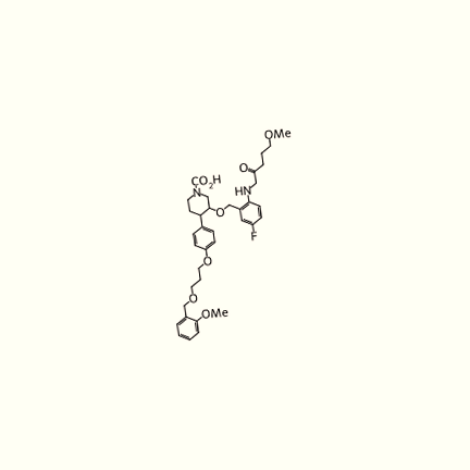 COCCCC(=O)CNc1ccc(F)cc1COC1CN(C(=O)O)CCC1c1ccc(OCCCOCc2ccccc2OC)cc1